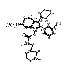 CN1CCCC(CN(C)C(=O)Cn2c(-c3cccc(F)c3)c(C3CCCCC3)c3ccc(C(=O)O)cc32)C1